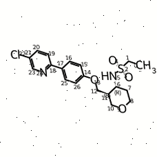 CCS(=O)(=O)N[C@@H]1CCOC[C@H]1COc1ccc(-c2ccc(Cl)cn2)cc1